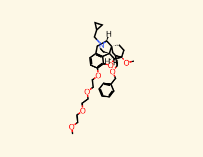 COCCOCCOCCOc1ccc2c3c1O[C@H]1[C@@]4(OC)CC[C@@]5(C[C@@H]4COCc4ccccc4)[C@@H](C2)N(CC2CC2)CC[C@]315